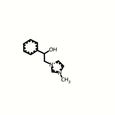 Cn1cc[n+](CC(O)c2ccccc2)c1